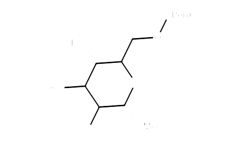 CCCCCOCC1O[C@H](OC)C(O)C(O)[C@@H]1O